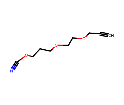 C#CCOCCOCCCOC#N